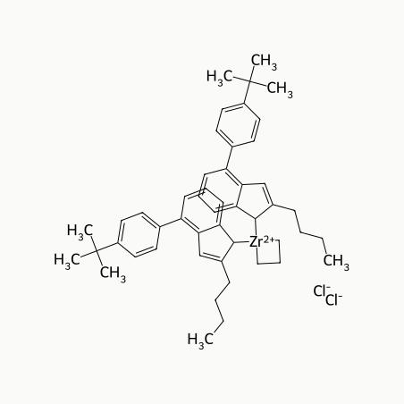 CCCCC1=Cc2c(-c3ccc(C(C)(C)C)cc3)cccc2[CH]1[Zr+2]1([CH]2C(CCCC)=Cc3c(-c4ccc(C(C)(C)C)cc4)cccc32)[CH2]C[CH2]1.[Cl-].[Cl-]